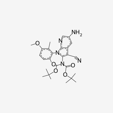 COc1ccc(C)c(-n2c(N(C(=O)OC(C)(C)C)C(=O)OC(C)(C)C)c(C#N)c3cc(N)cnc32)c1C